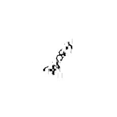 Cc1nn(CC(F)F)c2nc(N3CCC4(CC3)CCN(c3nccc(C(F)(F)F)n3)C4=O)cnc12